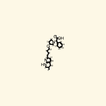 CC1CNc2nc(CCCCO[C@@H]3CCN([C@H](C(=O)O)c4ccccc4)C3)ccc2C1